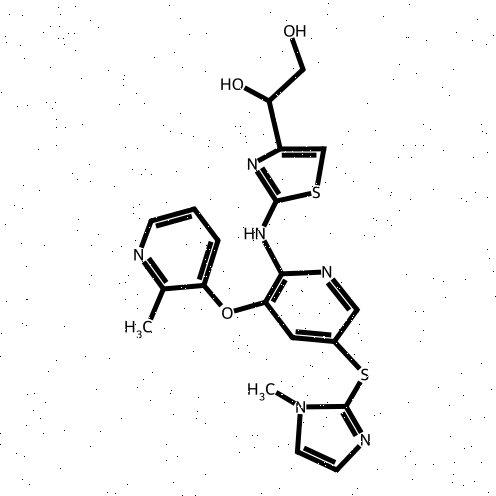 Cc1ncccc1Oc1cc(Sc2nccn2C)cnc1Nc1nc(C(O)CO)cs1